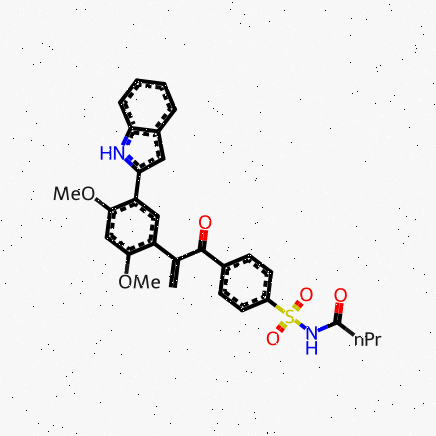 C=C(C(=O)c1ccc(S(=O)(=O)NC(=O)CCC)cc1)c1cc(-c2cc3ccccc3[nH]2)c(OC)cc1OC